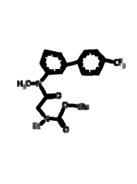 CCN(CC(=O)N(C)c1cccc(-c2ccc(C(F)(F)F)cc2)c1)C(=O)OC(C)(C)C